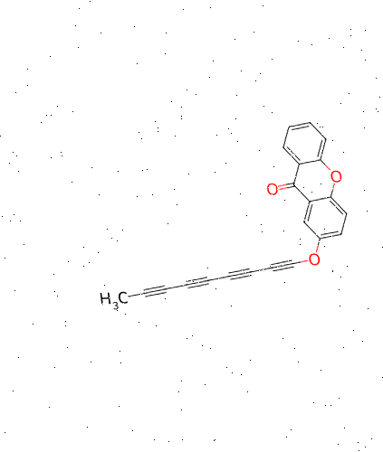 CC#CC#CC#CC#COc1ccc2oc3ccccc3c(=O)c2c1